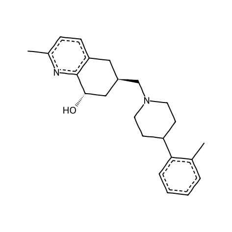 Cc1ccc2c(n1)[C@@H](O)C[C@H](CN1CCC(c3ccccc3C)CC1)C2